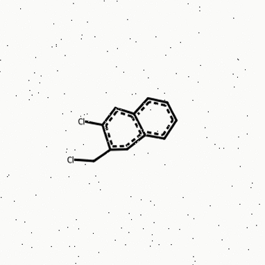 ClCc1cc2ccccc2cc1Cl